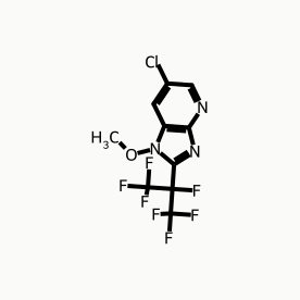 COn1c(C(F)(C(F)(F)F)C(F)(F)F)nc2ncc(Cl)cc21